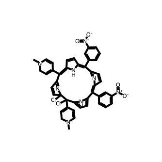 CN1C=CC(C2=c3ccc([nH]3)=C(c3cccc([N+](=O)[O-])c3)C3=NC(=C(c4cccc([N+](=O)[O-])c4)c4ccc([nH]4)C(Cl)(C4=CCN(C)C=C4)C4(Cl)C=CC2=N4)C=C3)=CC1